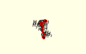 CN[C@@H](C)C(=O)N[C@H](C(=O)N1C[C@@H](NC(=O)c2ccc(NC(=O)c3ccc(C[C@H](N)C(=O)N4C[SiH](C)C[C@H]4C(=O)N[C@@H]4CCCc5ccccc54)cc3)cc2)C[C@H]1C(=O)N[C@@H]1CCCc2ccccc21)C(C)(C)C